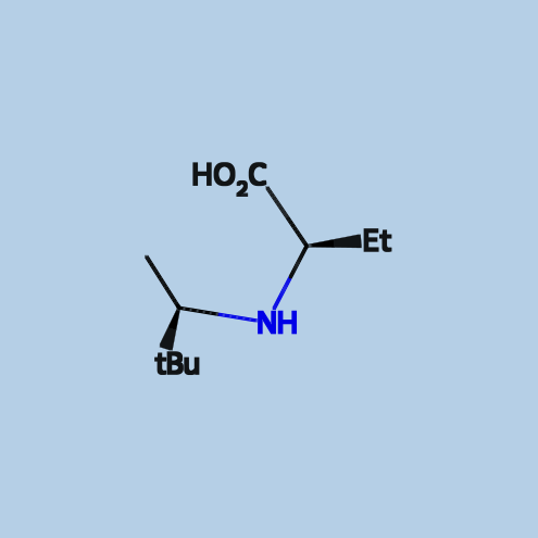 CC[C@@H](N[C@H](C)C(C)(C)C)C(=O)O